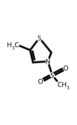 CC1=CN(S(C)(=O)=O)CS1